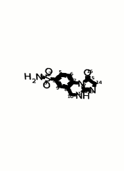 NS(=O)(=O)c1ccc2c(c1)CNC1=NCC(=O)N12